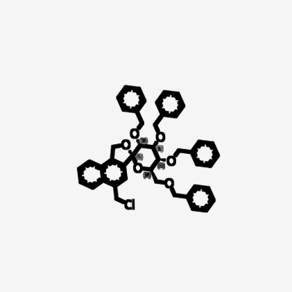 ClCc1cc2c(c3ccccc13)CO[C@]21O[C@H](COCc2ccccc2)[C@@H](OCc2ccccc2)[C@H](OCc2ccccc2)[C@H]1OCc1ccccc1